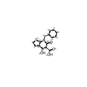 O=C(O)c1c(O)c2ccsc2n(Cc2ccccc2)c1=O